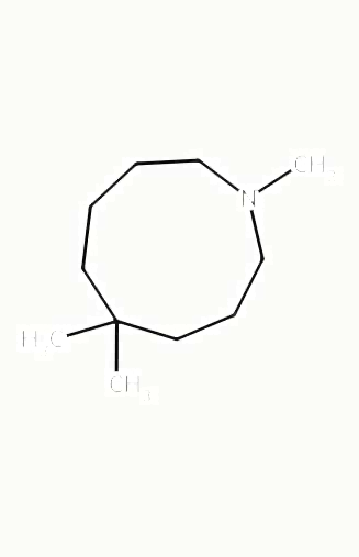 CN1CCCCC(C)(C)CCC1